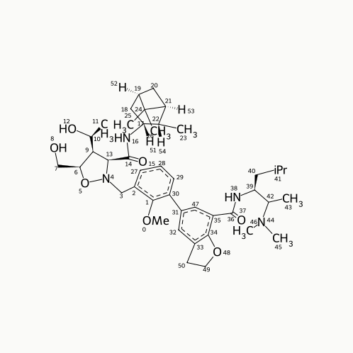 COc1c(CN2O[C@@H](CO)[C@@H]([C@H](C)O)[C@H]2C(=O)N[C@@H]2C[C@H]3C[C@@H]([C@@H]2C)C3(C)C)cccc1-c1cc2c(c(C(=O)N[C@@H](CC(C)C)C(C)N(C)C)c1)OCC2